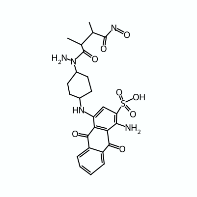 CC(C(=O)N=O)C(C)C(=O)N(N)C1CCC(Nc2cc(S(=O)(=O)O)c(N)c3c2C(=O)c2ccccc2C3=O)CC1